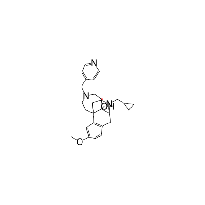 COc1ccc2c(c1)C13CCN(Cc4ccncc4)CCC1(O)C(C2)N(CC1CC1)CC3